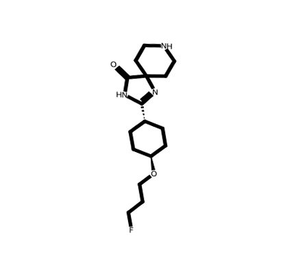 O=C1NC([C@H]2CC[C@H](OCCCF)CC2)=NC12CCNCC2